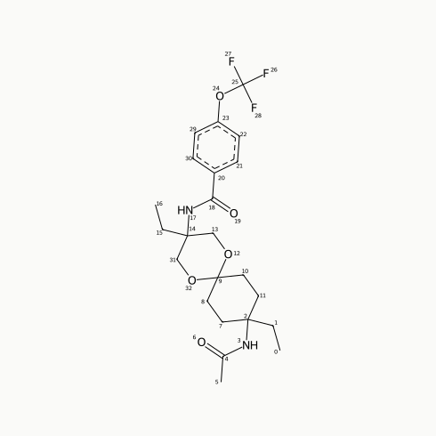 CCC1(NC(C)=O)CCC2(CC1)OCC(CC)(NC(=O)c1ccc(OC(F)(F)F)cc1)CO2